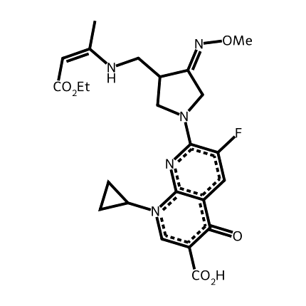 CCOC(=O)/C=C(/C)NCC1CN(c2nc3c(cc2F)c(=O)c(C(=O)O)cn3C2CC2)C/C1=N\OC